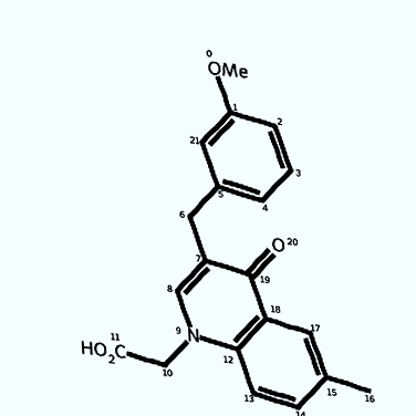 COc1cccc(Cc2cn(CC(=O)O)c3ccc(C)cc3c2=O)c1